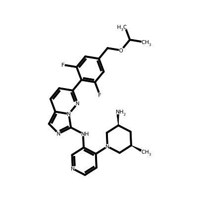 CC(C)OCc1cc(F)c(-c2ccc3cnc(Nc4cnccc4N4C[C@H](C)C[C@H](N)C4)n3n2)c(F)c1